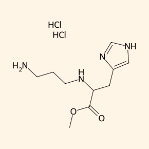 COC(=O)C(Cc1c[nH]cn1)NCCCN.Cl.Cl